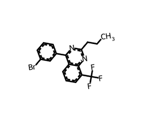 CCCc1nc(-c2cccc(Br)c2)c2cccc(C(F)(F)F)c2n1